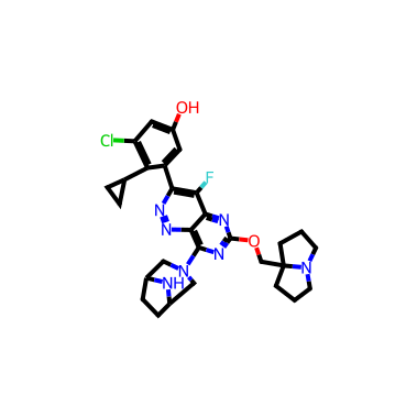 Oc1cc(Cl)c(C2CC2)c(-c2nnc3c(N4CC5CCC(C4)N5)nc(OCC45CCCN4CCC5)nc3c2F)c1